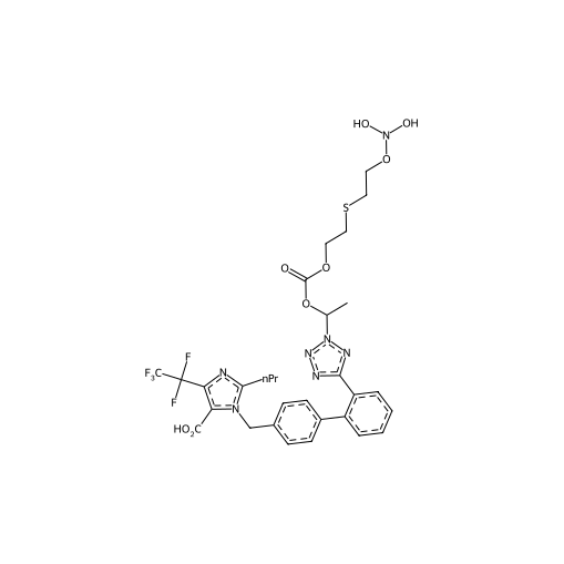 CCCc1nc(C(F)(F)C(F)(F)F)c(C(=O)O)n1Cc1ccc(-c2ccccc2-c2nnn(C(C)OC(=O)OCCSCCON(O)O)n2)cc1